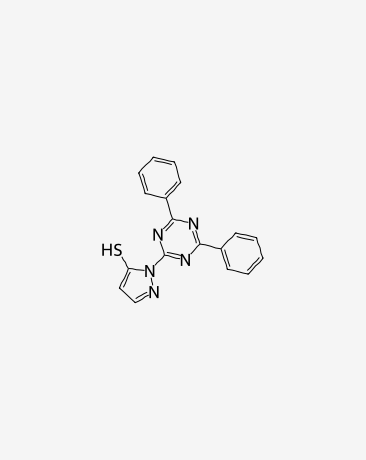 Sc1ccnn1-c1nc(-c2ccccc2)nc(-c2ccccc2)n1